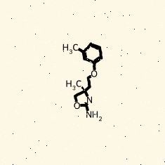 Cc1cccc(OCC[C@@]2(C)COC(N)=N2)c1